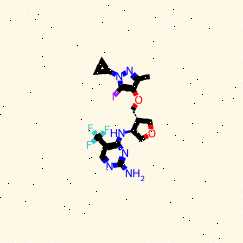 Cc1nn(C2CC2)c(I)c1OC[C@@H]1COC[C@H]1Nc1nc(N)ncc1C(F)(F)F